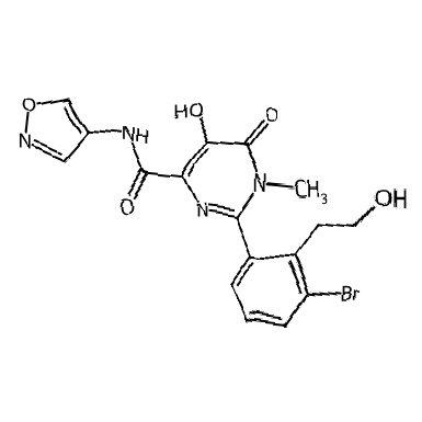 Cn1c(-c2cccc(Br)c2CCO)nc(C(=O)Nc2cnoc2)c(O)c1=O